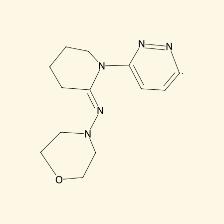 [c]1ccc(N2CCCCC2=NN2CCOCC2)nn1